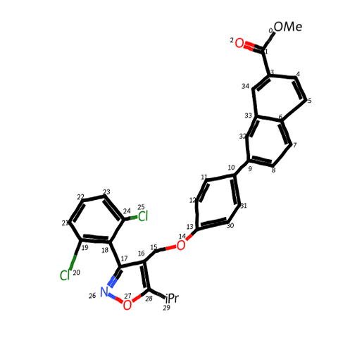 COC(=O)c1ccc2ccc(-c3ccc(OCc4c(-c5c(Cl)cccc5Cl)noc4C(C)C)cc3)cc2c1